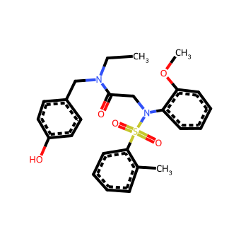 CCN(Cc1ccc(O)cc1)C(=O)CN(c1ccccc1OC)S(=O)(=O)c1ccccc1C